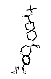 CC(C)(C)OC(=O)N1CCC2(CCC(C(=O)N3CCOc4cc(C(=O)NO)ccc4C3)CC2)CC1